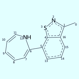 Cc1nsc2c(C3=CC=CC=CN3)cccc12